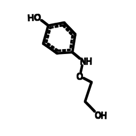 OCCONc1ccc(O)cc1